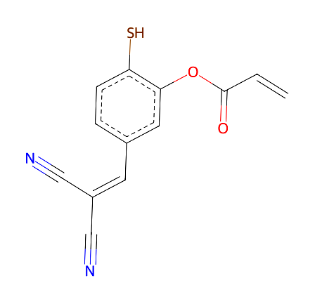 C=CC(=O)Oc1cc(C=C(C#N)C#N)ccc1S